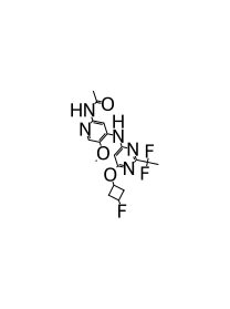 COc1cnc(NC(C)=O)cc1Nc1cc(OC2CC(F)C2)nc(C(C)(F)F)n1